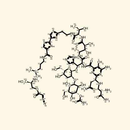 Cc1c(N)nc([C@H](CC(N)=O)NC[C@H](N)C(N)=O)nc1C(=O)N[C@H](C(=O)N[C@H](C)[C@@H](O)[C@H](C)C(=O)N[C@H](C(=O)NCCc1nc(-c2nc(C(=O)NCCC[S+](C)C)cs2)cs1)[C@@H](C)O)[C@@H](O[C@@H]1O[C@@H](CO)[C@H](O)[C@@H](O)[C@@H]1O[C@@H]1O[C@@H](CO)[C@H](O)[C@@H](OC(N)=O)[C@@H]1O)c1cnc[nH]1.[N-]=[N+]=CC(=O)OC[C@H](N)C(=O)O